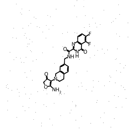 NC1=C(N2CCc3ccc(CNC(=O)c4nc5ccc(F)c(F)c5c(=O)[nH]4)cc3C2)C(=O)CO1